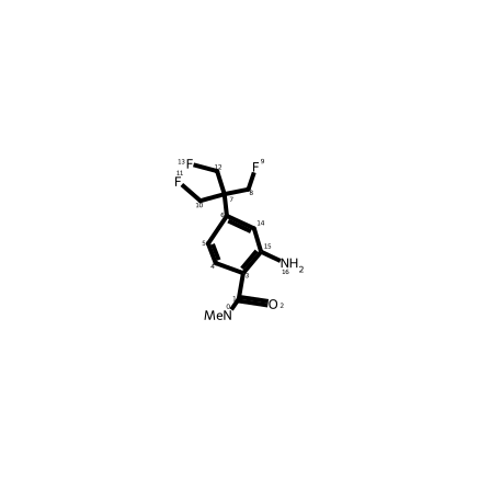 CNC(=O)c1ccc(C(CF)(CF)CF)cc1N